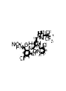 N#CCNC(=O)c1cc(Cl)cc(Cl)c1NC(=O)c1cc(Cn2nnc(C(F)(C(F)(F)F)C(F)(F)F)n2)nn1-c1ncccc1Cl